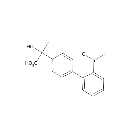 C[S+]([O-])c1ccccc1-c1ccc(C(C)(O)C(=O)O)cc1